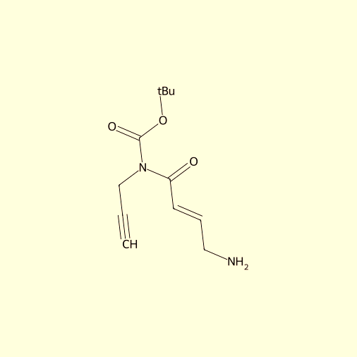 C#CCN(C(=O)C=CCN)C(=O)OC(C)(C)C